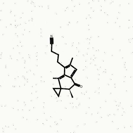 CC1=C(CCCC#N)C2=C(C)C3(CC3)[C@H](C)C(=O)C2=C1